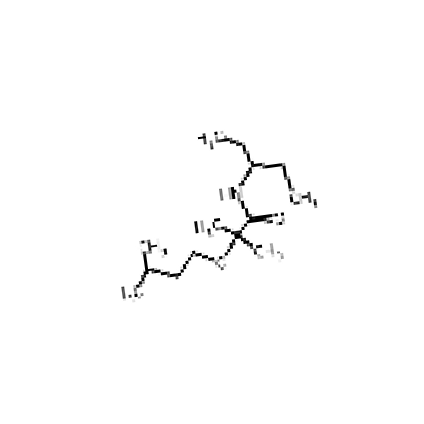 CCC(CC)NC(=O)C(C)(C)OCCC(C)C